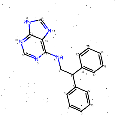 c1ccc(C(CNc2ncnc3[nH]cnc23)c2ccccc2)cc1